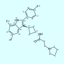 O=C(CCN1CCCC1)N[C@H]1C[C@H](c2c(-c3ccc(F)cc3)[nH]c3c(F)cc(F)cc32)C1